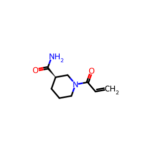 C=CC(=O)N1CCC[C@@H](C(N)=O)C1